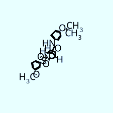 COc1cccc(S(=O)(=O)N2C[C@H]3CC[C@@H]2[C@H](C(=O)Nc2ccc(OC(C)C)cc2)C3)c1